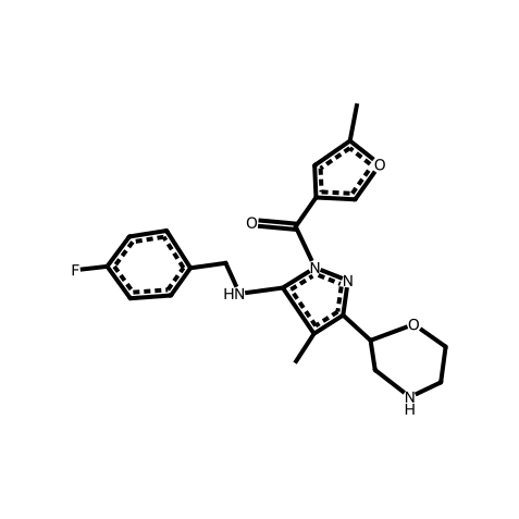 Cc1cc(C(=O)n2nc(C3CNCCO3)c(C)c2NCc2ccc(F)cc2)co1